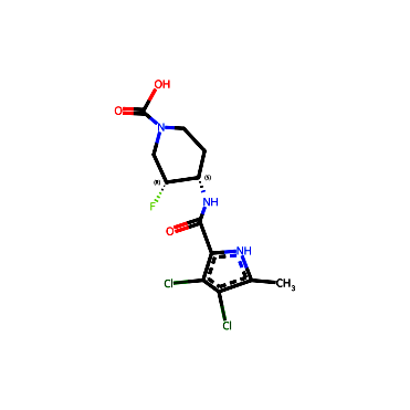 Cc1[nH]c(C(=O)N[C@H]2CCN(C(=O)O)C[C@H]2F)c(Cl)c1Cl